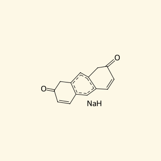 O=C1C=Cc2cc3c(cc2C1)CC(=O)C=C3.[NaH]